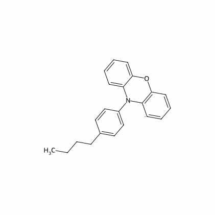 CCCCc1ccc(N2c3[c]cccc3Oc3ccccc32)cc1